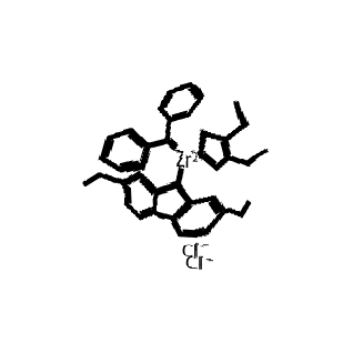 CCC1=C(CC)C[C]([Zr+2](=[C](c2ccccc2)c2ccccc2)[CH]2c3cc(CC)ccc3-c3ccc(CC)cc32)=C1.[Cl-].[Cl-]